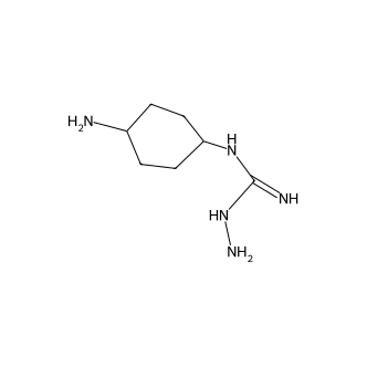 N=C(NN)NC1CCC(N)CC1